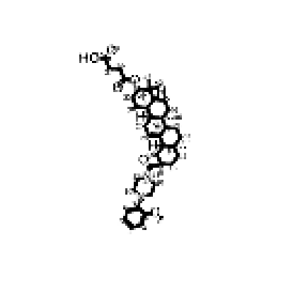 COc1ccccc1N1CCN(C(=O)[C@@]2(C)CC[C@]3(C)CC[C@]4(C)C(=CC[C@@H]5[C@@]6(C)CC[C@H](OC(=O)CCC(=O)O)C(C)(C)[C@@H]6CC[C@]54C)[C@@H]3C2)CC1